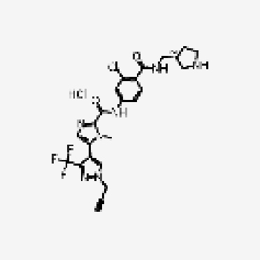 C#CCn1cc(-c2cnc(C(=O)Nc3ccc(C(=O)NC[C@H]4CCNC4)c(Cl)c3)n2C)c(C(F)(F)F)n1.Cl